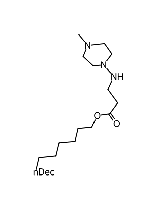 CCCCCCCCCCCCCCCCOC(=O)CCNN1CCN(C)CC1